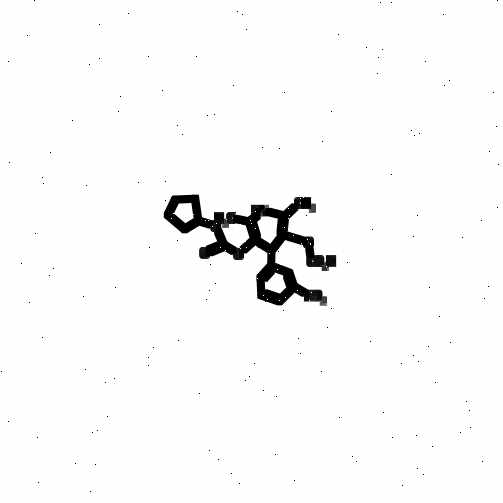 CC1=C(OC(=O)O)C(c2cccc([N+](=O)[O-])c2)C(OC(=O)OC2CCCC2)=C(C)N1